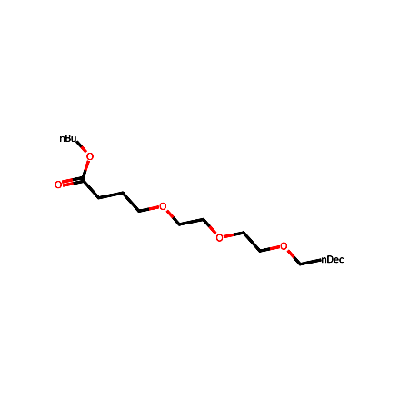 CCCCCCCCCCCOCCOCCOCCCC(=O)OCCCC